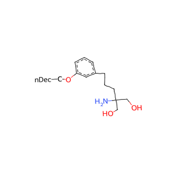 CCCCCCCCCCCOc1cccc(CCCC(N)(CO)CO)c1